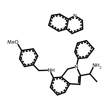 COc1ccc(CNc2cccc3c2CN(c2ccccc2)C(C(C)N)=C3)cc1.c1ccc2ncccc2c1